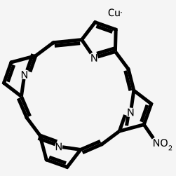 O=[N+]([O-])C1=CC2=CC3=NC(=CC4=NC(=CC5=NC(=CC1=N2)C=C5)C=C4)C=C3.[Cu]